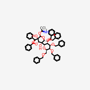 N=C(OC1O[C@H](COCc2ccccc2)[C@@](O)([C@H]2O[C@H](COCc3ccccc3)[C@H](OCc3ccccc3)[C@H](OCc3ccccc3)[C@H]2OCc2ccccc2)[C@H](OCc2ccccc2)[C@]1(O)C(=O)c1ccccc1)C(Cl)(Cl)Cl